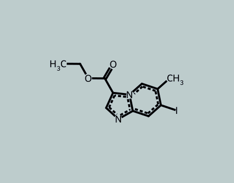 CCOC(=O)c1cnc2cc(I)c(C)cn12